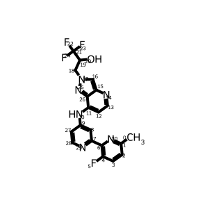 Cc1ccc(F)c(-c2cc(Nc3ccnc4cn(CC(O)C(F)(F)F)nc34)ccn2)n1